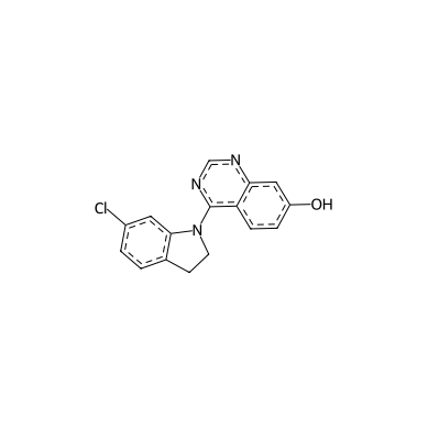 Oc1ccc2c(N3CCc4ccc(Cl)cc43)ncnc2c1